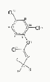 CC(C)(C)C=C(Cl)Oc1ccc(Cl)cc1Cl